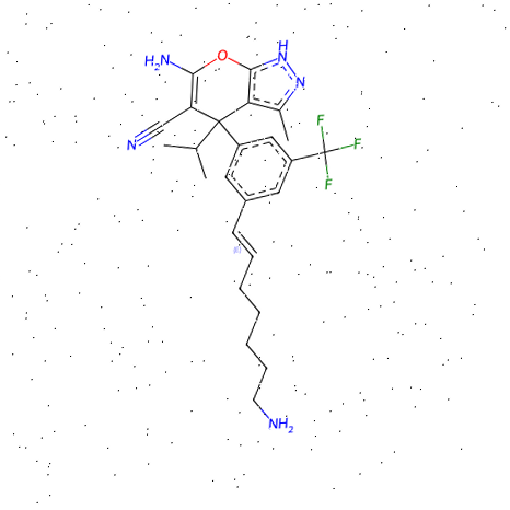 Cc1n[nH]c2c1C(c1cc(/C=C/CCCCCN)cc(C(F)(F)F)c1)(C(C)C)C(C#N)=C(N)O2